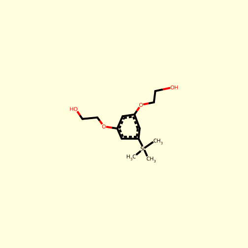 C[Si](C)(C)c1cc(OCCO)cc(OCCO)c1